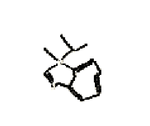 CC(C)[N+]1(C)C=Nc2ccccc21